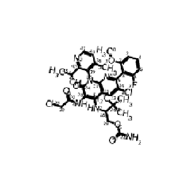 COc1cccc(F)c1-c1nc2c(cc1Cl)c(NC(COC(N)=O)C(C)(C)C)c(NC(=O)CCl)c(=O)n2-c1c(C)ccnc1C(C)C